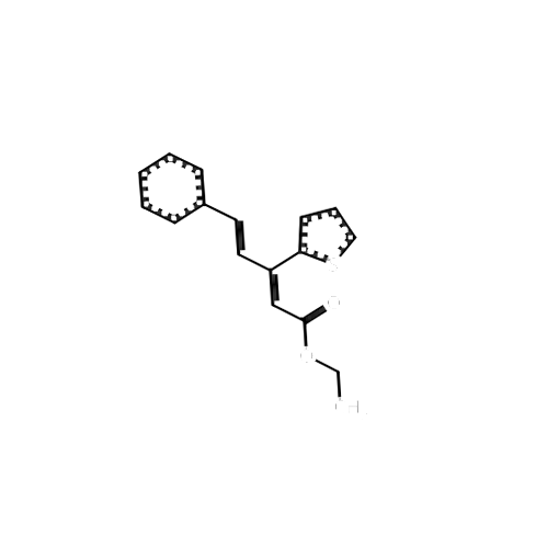 CCOC(=O)C=C(C=Cc1ccccc1)c1cccs1